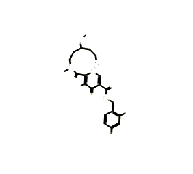 COC1CCNn2cc(C(=O)NCc3ccc(F)cc3F)c(=O)c(O)c2C(=O)N(C)CC1